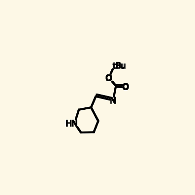 CC(C)(C)OC(=O)N=CC1CCCNC1